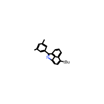 Cc1cc(C)cc(C2=Nc3ccc(C(C)(C)C)c4cccc2c34)c1